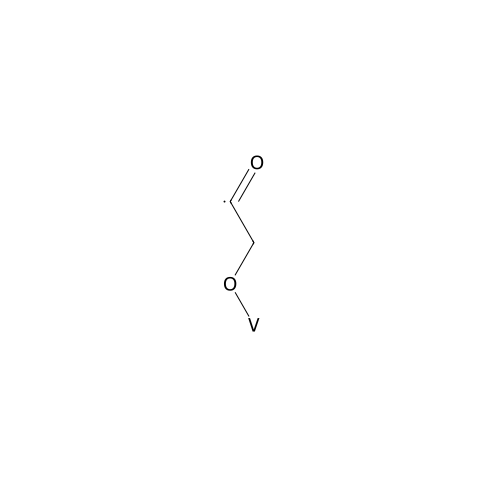 O=[C]C[O][V]